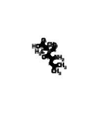 CC(C)CC(N)C(=O)N(C=O)C(C)(C)C(=O)O